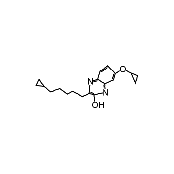 Oc1nc2cc(OC3CC3)ccc2nc1CCCCCC1CC1